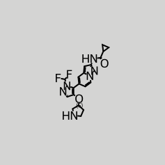 O=C(Nc1cc2cc(-c3c(O[C@H]4CCNC4)cnn3C(F)F)ccn2n1)C1CC1